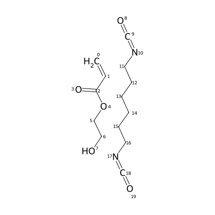 C=CC(=O)OCCO.O=C=NCCCCCCN=C=O